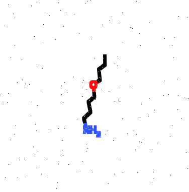 CCCCOCCCCN